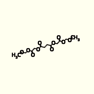 COCOC(=O)COC(=O)CCC(=O)OCC(=O)OCOC